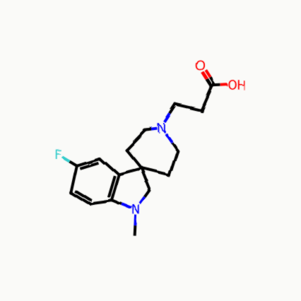 CN1CC2(CCN(CCC(=O)O)CC2)c2cc(F)ccc21